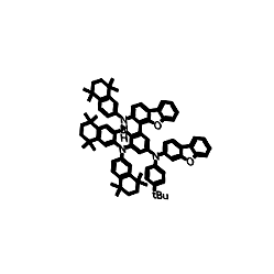 CC(C)(C)c1ccc(N(c2cc(-c3c(Nc4ccc5c(c4)C(C)(C)CCC5(C)C)ccc4c3oc3ccccc34)c3c(c2)N(c2ccc4c(c2)C(C)(C)CCC4(C)C)c2cc4c(cc2B3)C(C)(C)CCC4(C)C)c2ccc3c(c2)oc2ccccc23)cc1